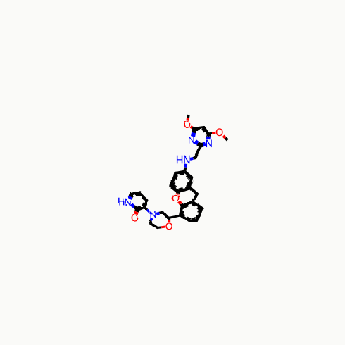 COc1cc(OC)nc(CNc2ccc3c(c2)Cc2cccc(C4CN(c5ccc[nH]c5=O)CCO4)c2O3)n1